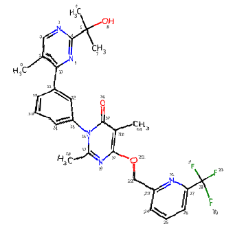 Cc1cnc(C(C)(C)O)nc1-c1cccc(-n2c(C)nc(OCc3cccc(C(F)(F)F)n3)c(C)c2=O)c1